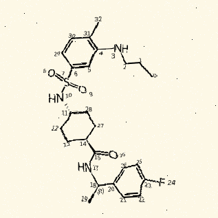 CCCNc1cc(S(=O)(=O)N[C@H]2CC[C@H](C(=O)N[C@H](C)c3ccc(F)cc3)CC2)ccc1C